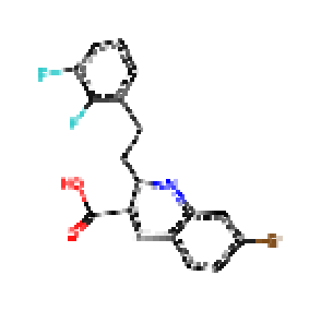 O=C(O)c1[c]c2ccc(Br)cc2nc1CCc1cccc(F)c1F